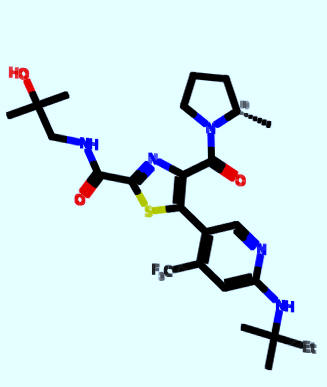 CCC(C)(C)Nc1cc(C(F)(F)F)c(-c2sc(C(=O)NCC(C)(C)O)nc2C(=O)N2CCC[C@@H]2C)cn1